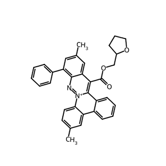 Cc1cc(-c2ccccc2)c2n[n+]3c4ccc(C)cc4c4ccccc4c3c(C(=O)OCC3CCCO3)c2c1